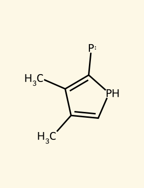 Cc1c[pH]c([P])c1C